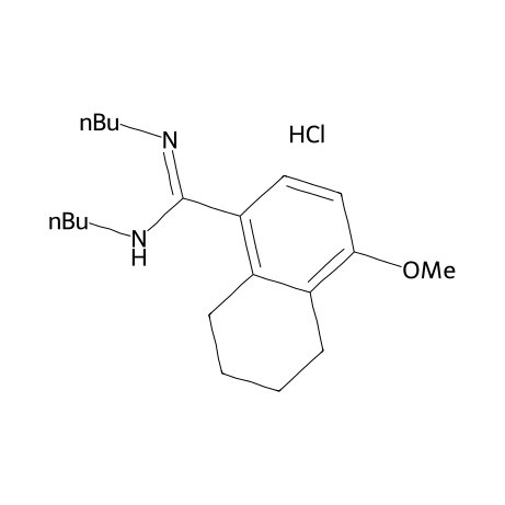 CCCCN=C(NCCCC)c1ccc(OC)c2c1CCCC2.Cl